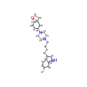 Fc1ccc2c(CCCCN3CCN(c4ccc5c(c4)CCO5)CC3)c[nH]c2c1